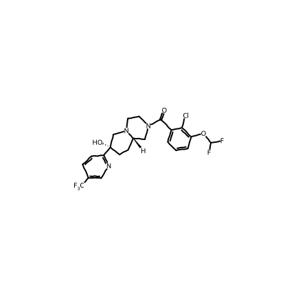 O=C(c1cccc(OC(F)F)c1Cl)N1CCN2C[C@](O)(c3ccc(C(F)(F)F)cn3)CC[C@H]2C1